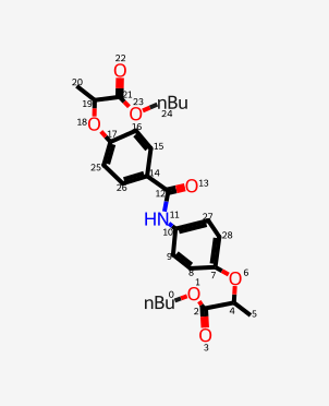 CCCCOC(=O)C(C)Oc1ccc(NC(=O)c2ccc(OC(C)C(=O)OCCCC)cc2)cc1